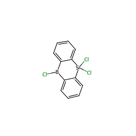 ClB1c2ccccc2[Si](Cl)(Cl)c2ccccc21